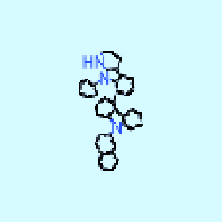 C1=Cc2c(n(-c3ccccc3)c3c(-c4cccc5c4c4ccccc4n5-c4ccc5ccccc5c4)cccc23)NC1